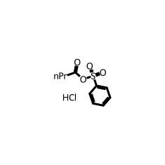 CCCC(=O)OS(=O)(=O)c1ccccc1.Cl